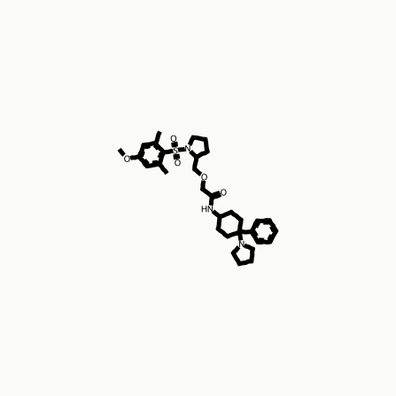 COc1cc(C)c(S(=O)(=O)N2CCCC2COCC(=O)NC2CCC(c3ccccc3)(N3CCCC3)CC2)c(C)c1